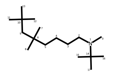 CN(CCCCC(C)(C)CC(C)(C)C)C(C)(C)C